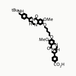 COc1cc2c(cc1OCCCCCOc1cc3c(cc1OC)C(=O)N1C=C(c4ccc(C(=O)O)cc4)C[C@H]1C=N3)N=C[C@@H]1CC(c3ccc(CNC(C)(C)C)cc3)=CN1C2=O